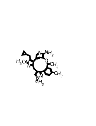 Cc1ccc2c(c1)C(C)Oc1cc(cnc1N)-c1c(nn(C)c1CC1CC1)Cc1cn(C)nc1-2